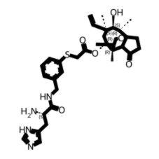 C=C[C@]1(C)C[C@@H](OC(=O)CSc2cccc(CNC(=O)[C@@H](N)Cc3cnc[nH]3)c2)[C@]2(C)C(C)CCC3(CCC(=O)C32)[C@@H](C)[C@@H]1O